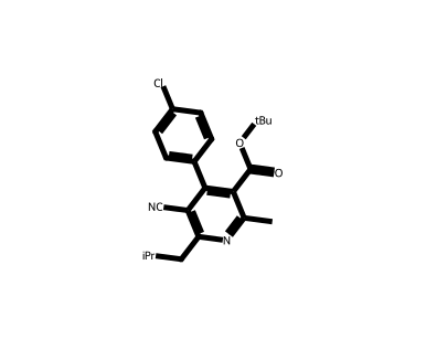 Cc1nc(CC(C)C)c(C#N)c(-c2ccc(Cl)cc2)c1C(=O)OC(C)(C)C